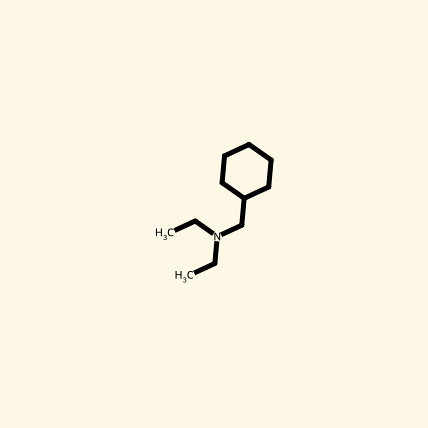 CCN(CC)CC1CCCCC1